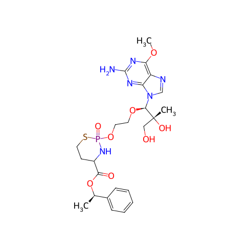 COc1nc(N)nc2c1ncn2[C@H](OCCOP1(=O)NC(C(=O)O[C@H](C)c2ccccc2)CCS1)[C@](C)(O)CO